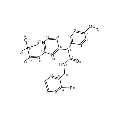 COc1ccc(N(C(=O)NCc2ccccc2F)c2ccnc(N=C(C)C(C)(C)O)n2)cc1